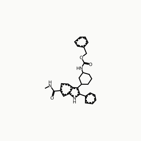 CNC(=O)c1ccc2c(C3CCCC(NC(=O)OCc4ccccc4)C3)c(-c3ccccc3)[nH]c2c1